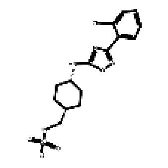 CCS(=O)(=O)NC[C@H]1CC[C@H](Nc2nc(-c3ccccc3Cl)no2)CC1